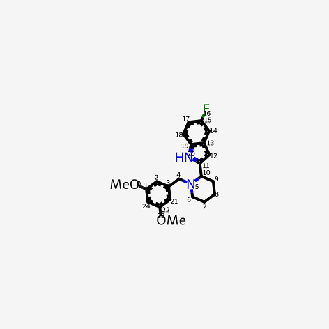 COc1cc(CN2CCCCC2c2cc3cc(F)ccc3[nH]2)cc(OC)c1